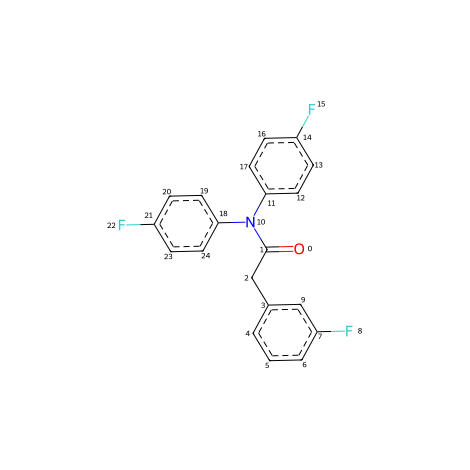 O=C(Cc1cccc(F)c1)N(c1ccc(F)cc1)c1ccc(F)cc1